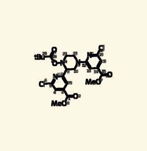 COC(=O)c1cc(Cl)nc(C2CN(c3cc(C(=O)OC)cc(Cl)n3)CCN2OC(=O)C(C)(C)C)c1